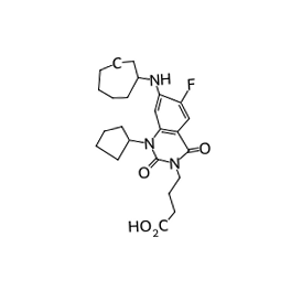 O=C(O)CCCn1c(=O)c2cc(F)c(NC3CCCCCC3)cc2n(C2CCCC2)c1=O